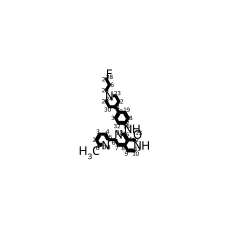 Cc1cccc(-c2cc3cc[nH]c(=O)c3c(Nc3ccc(C4CCN(CCCF)CC4)cc3)n2)n1